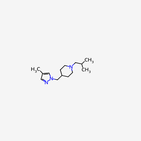 Cc1cnn(CC2CCN(CC(C)C)CC2)c1